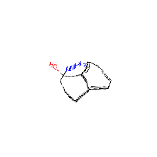 NC1(O)CCCc2ccccc21